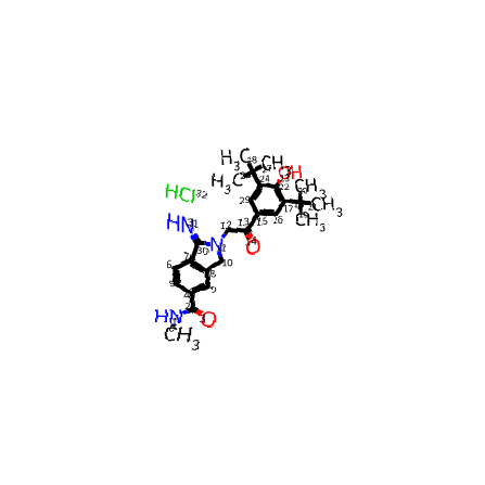 CNC(=O)c1ccc2c(c1)CN(CC(=O)c1cc(C(C)(C)C)c(O)c(C(C)(C)C)c1)C2=N.Cl